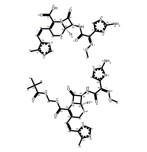 CO/N=C(\C(=O)N[C@@H]1C(=O)N2C(C(=O)O)=C(/C=C\c3scnc3C)CS[C@H]12)c1csc(N)n1.CO/N=C(\C(=O)N[C@@H]1C(=O)N2C(C(=O)OCOC(=O)C(C)(C)C)=C(/C=C\c3scnc3C)CS[C@H]12)c1csc(N)n1